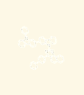 c1ccc(-c2ccc(-c3nc(-n4c5ccccc5c5ccc(-c6ccc7c8ccccc8n(-c8ccccc8)c7c6)cc54)nc4c3ccc3ccccc34)cc2)cc1